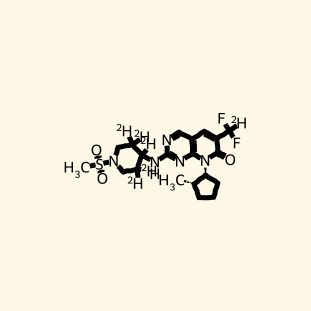 [2H]C(F)(F)c1cc2cnc(NC3([2H])C([2H])([2H])CN(S(C)(=O)=O)CC3([2H])[2H])nc2n([C@@H]2CCC[C@@H]2C)c1=O